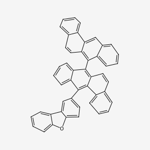 c1ccc2c(-c3c4ccccc4c(-c4ccc5oc6ccccc6c5c4)c4c3ccc3ccccc34)c3ccc4ccccc4c3cc2c1